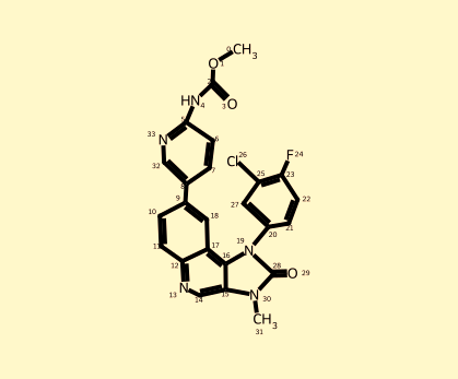 COC(=O)Nc1ccc(-c2ccc3ncc4c(c3c2)n(-c2ccc(F)c(Cl)c2)c(=O)n4C)cn1